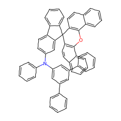 c1ccc(-c2cc(-c3ccccc3)cc(N(c3ccccc3)c3ccc4c(c3)C3(c5ccccc5-4)c4ccc5ccccc5c4Oc4c3ccc3ccccc43)c2)cc1